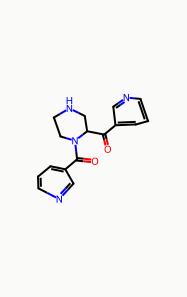 O=C(c1cccnc1)C1CNCCN1C(=O)c1cccnc1